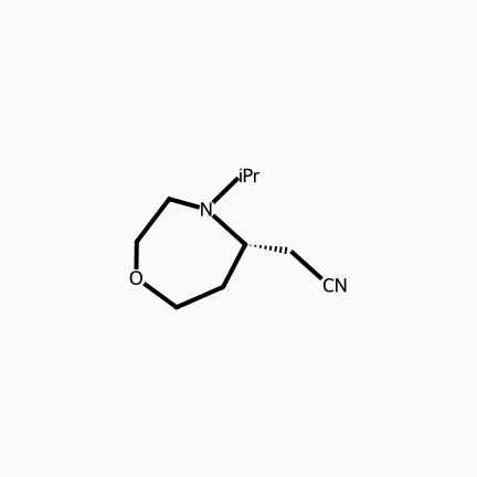 CC(C)N1CCOCC[C@H]1CC#N